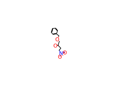 O=C(CC[N+](=O)[O-])COCc1ccccc1